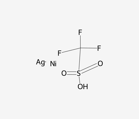 O=S(=O)(O)C(F)(F)F.[Ag].[Ni]